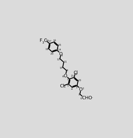 O=[C]COc1cc(Cl)c(OCCCCOc2ccc(C(F)(F)F)cc2)c(Cl)c1